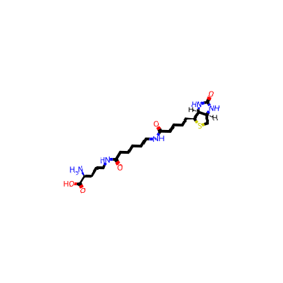 N[C@@H](CCCNC(=O)CCCCCNC(=O)CCCC[C@@H]1SC[C@@H]2NC(=O)N[C@@H]21)C(=O)O